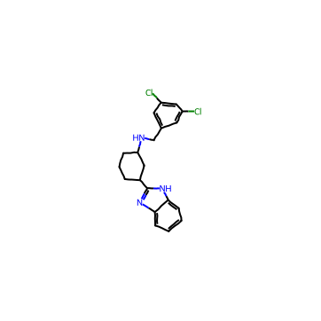 Clc1cc(Cl)cc(CNC2CCCC(c3nc4ccccc4[nH]3)C2)c1